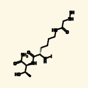 C[C@@H](O)[C@H](NC(=O)[C@H](CCCCNC(=O)CNS)NI)C(N)=O